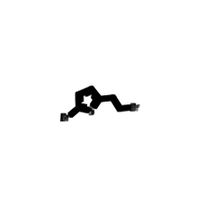 BrC[CH]c1ccc(Br)s1